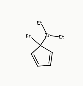 C[CH2][Zr]([CH2]C)[C]1(CC)C=CC=C1